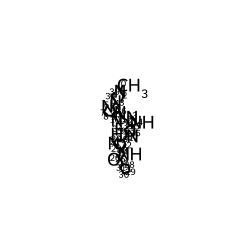 CN1CCN(c2nccc3[nH]c(-c4n[nH]c5cnc(-c6cncc(NC(=O)C7CCCC7)c6)c(F)c45)nc23)CC1